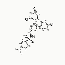 CC(C)c1ccc(S(=O)(=O)NCC2=NN(c3ccc(Cl)cc3Cl)C(c3ccc(Cl)cc3)C2)cc1